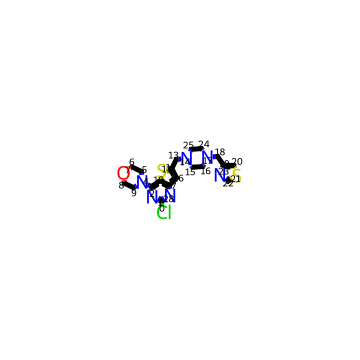 Clc1nc(N2CCOCC2)c2sc(CN3CCN(Cc4cscn4)CC3)cc2n1